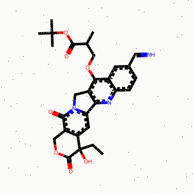 CCC1(O)C(=O)OCc2c1cc1n(c2=O)Cc2c-1nc1ccc(C=N)cc1c2OCC(C)C(=O)OC(C)(C)C